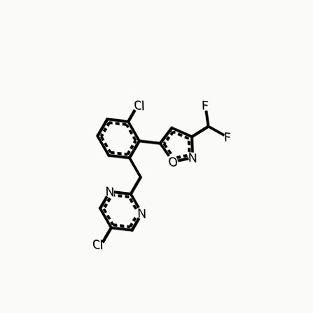 FC(F)c1cc(-c2c(Cl)cccc2Cc2ncc(Cl)cn2)on1